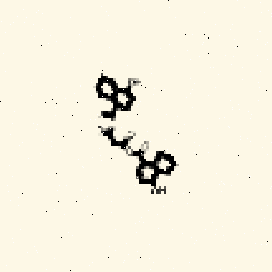 O=C(CC(=O)OC(=O)c1ccc(O)c2ccccc12)OC(=O)c1ccc(O)c2ccccc12